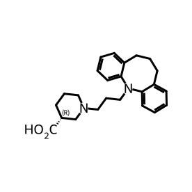 O=C(O)[C@@H]1CCCN(CCCN2c3ccccc3CCCc3ccccc32)C1